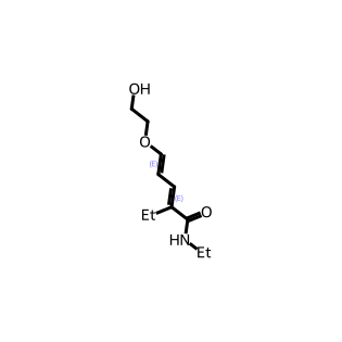 CCNC(=O)/C(=C/C=C/OCCO)CC